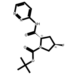 CC(C)(C)OC(=O)N1C[C@H](F)C[C@H]1C(=O)Nc1cccnn1